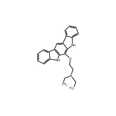 CCN(CC)CCOc1c2[nH]c3ccccc3c2cc2c1[nH]c1ccccc12